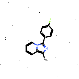 CC(=O)c1nc(-c2ccc(F)cc2)n2ccccc12